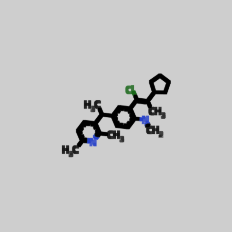 C=Nc1ccc(C(C)c2ccc(C)nc2C)cc1/C(Cl)=C(\C)C1CCCC1